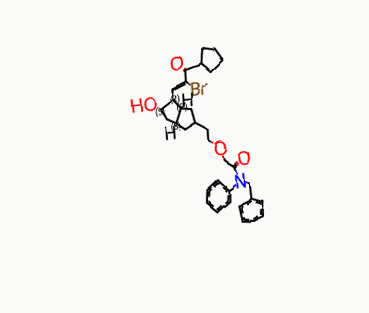 O=C(C(Br)=C[C@H]1[C@@H]2CC(CCOCC(=O)N(Cc3ccccc3)c3ccccc3)C[C@H]2C[C@@H]1O)C1CCCC1